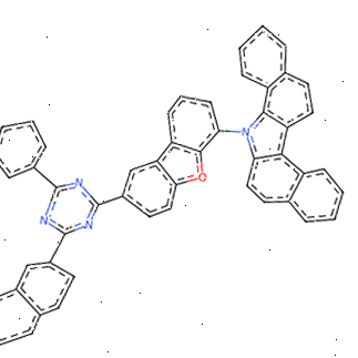 c1ccc(-c2nc(-c3ccc4ccccc4c3)nc(-c3ccc4oc5c(-n6c7ccc8ccccc8c7c7ccc8ccccc8c76)cccc5c4c3)n2)cc1